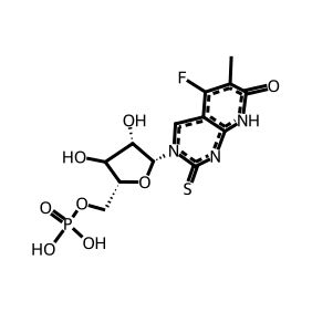 Cc1c(F)c2cn([C@@H]3O[C@H](COP(=O)(O)O)C(O)[C@@H]3O)c(=S)nc2[nH]c1=O